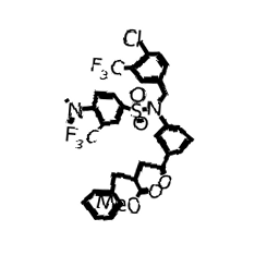 COC(=O)C(CC(=O)c1cccc(N(Cc2ccc(Cl)c(C(F)(F)F)c2)S(=O)(=O)c2ccc(N(C)C)c(C(F)(F)F)c2)c1)Cc1ccccc1